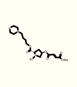 COC(=O)/C=C/C(=O)O[C@@H]1C[C@@H](C(=O)OCCCCN2CCOCC2)N(C(C)=O)C1